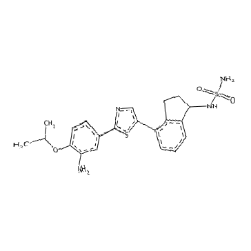 CC(C)Oc1ccc(-c2ncc(-c3cccc4c3CCC4NS(N)(=O)=O)s2)cc1N